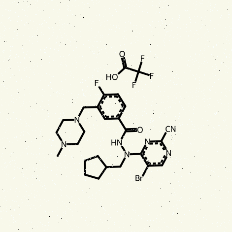 CN1CCN(Cc2cc(C(=O)NN(CC3CCCC3)c3nc(C#N)ncc3Br)ccc2F)CC1.O=C(O)C(F)(F)F